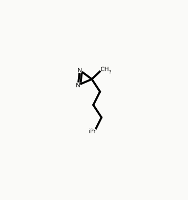 CC(C)CCCC1(C)N=N1